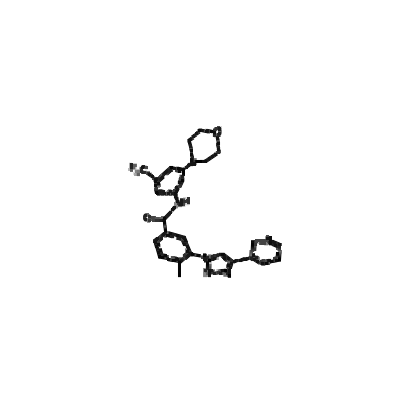 Cc1ccc(C(=O)Nc2cc(N3CCOCC3)cc(C(F)(F)F)c2)cc1-n1cc(-c2cccnc2)nn1